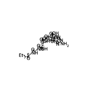 CCC=C(C)C(=O)SCCNC(=O)CCNC(=O)[C@H](O)C(C)(C)COP(=O)(O)OP(=O)(O)OC[C@H]1O[C@@H](n2cnc3c(N)ncnc32)[C@H](O)[C@@H]1OP(=O)(O)O